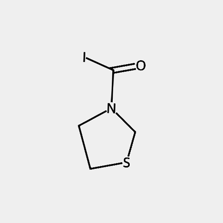 O=C(I)N1CCSC1